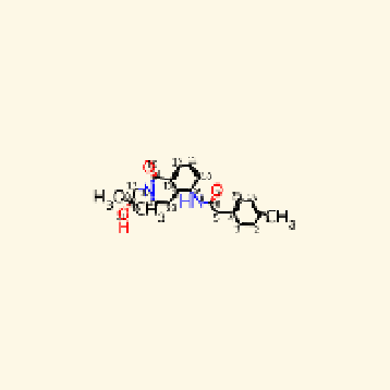 Cc1ccc(CC(=O)Nc2cccc3c(=O)n(CC(C)(C)O)ccc23)cc1